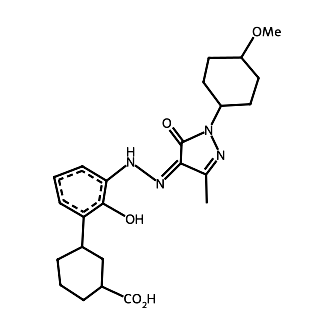 COC1CCC(N2N=C(C)C(=NNc3cccc(C4CCCC(C(=O)O)C4)c3O)C2=O)CC1